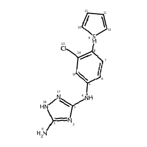 Nc1nc(Nc2ccc([SH]3C=CC=C3)c(Cl)c2)n[nH]1